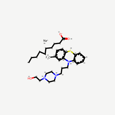 CCCCCCCCCC(=O)[O-].OCCN1CCN(CCCN2c3ccccc3Sc3ccc(C(F)(F)F)cc32)CC1.[Na+]